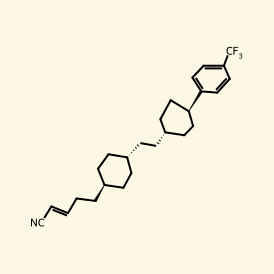 N#CC=CCC[C@H]1CC[C@H](CC[C@H]2CC[C@H](c3ccc(C(F)(F)F)cc3)CC2)CC1